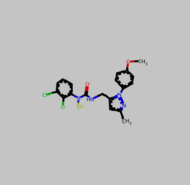 COc1ccc(-n2nc(C)cc2CNC(=O)N(S)c2cccc(Cl)c2Cl)cc1